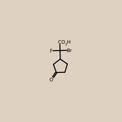 O=C1CCC(C(F)(Br)C(=O)O)C1